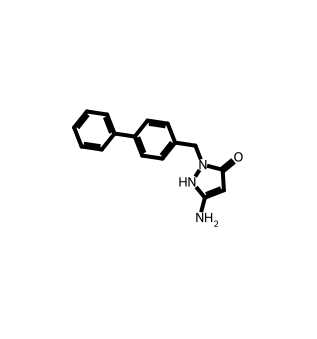 Nc1cc(=O)n(Cc2ccc(-c3ccccc3)cc2)[nH]1